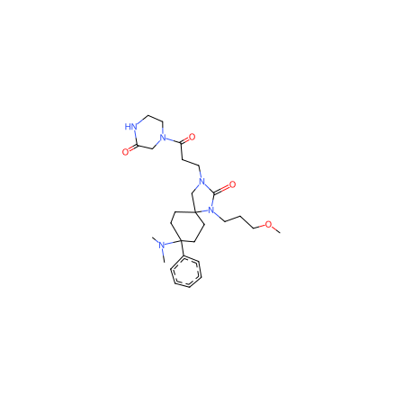 COCCCN1C(=O)N(CCC(=O)N2CCNC(=O)C2)CC12CCC(c1ccccc1)(N(C)C)CC2